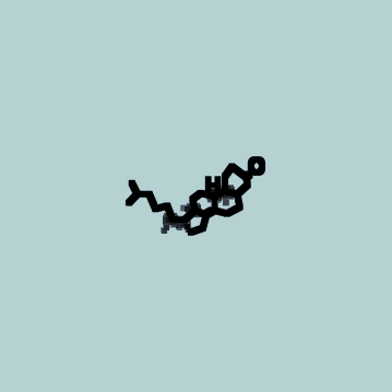 CC(C)CCC[C@@H](C)[C@H]1CCC2=C3CCC4CC(=O)CC[C@]4(C)[C@H]3CC[C@@]21C